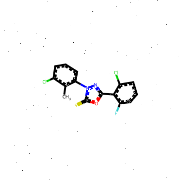 Cc1c(Cl)cccc1-n1nc(-c2c(F)cccc2Cl)oc1=S